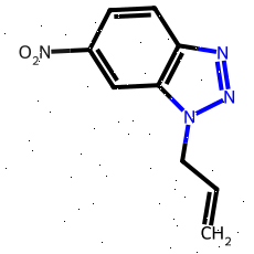 C=CCn1nnc2ccc([N+](=O)[O-])cc21